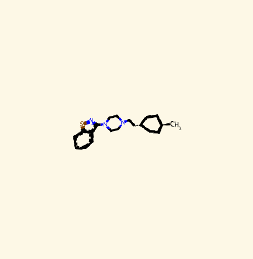 C[C@H]1CC[C@H](CCN2CCN(c3nsc4ccccc34)CC2)CC1